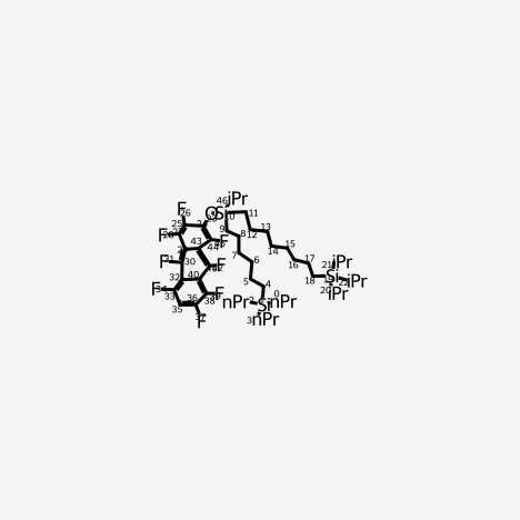 CCC[Si](CCC)(CCC)CCCCCC[Si](CCCCCCCC[Si](C(C)C)(C(C)C)C(C)C)(Oc1c(F)c(F)c2c(F)c3c(F)[c]c(F)c(F)c3c(F)c2c1F)C(C)C